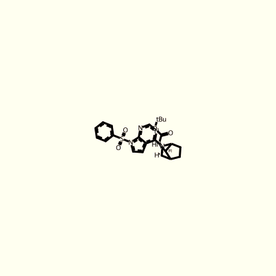 CC(C)(C)OC(=O)N[C@@H]1C2CCC1N(c1ncnc3c1ccn3S(=O)(=O)c1ccccc1)C2